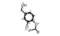 OCc1ccc(OC(F)F)c(Cl)c1